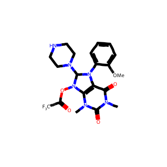 COc1ccccc1N1c2c(n(C)c(=O)n(C)c2=O)N(OC(=O)C(F)(F)F)C1N1CCNCC1